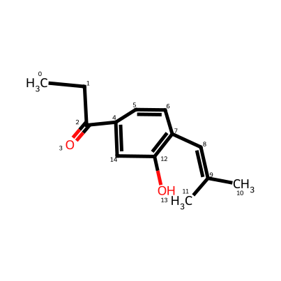 CCC(=O)c1ccc(C=C(C)C)c(O)c1